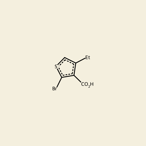 CCc1csc(Br)c1C(=O)O